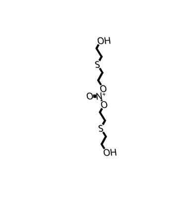 O=[N+](OCCSCCO)OCCSCCO